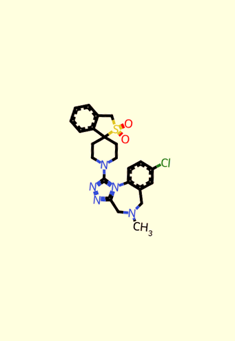 CN1Cc2cc(Cl)ccc2-n2c(nnc2N2CCC3(CC2)c2ccccc2CS3(=O)=O)C1